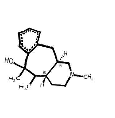 CC1[C@H]2CCN(C)C[C@@H]2Cc2ccccc2C1(C)O